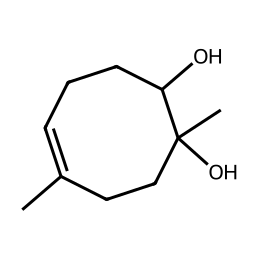 CC1=CCCC(O)C(C)(O)CC1